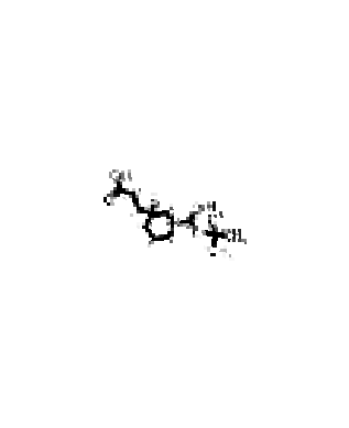 CC(C)(C)OC(=O)N1CCCC(F)(CCC(=O)O)C1